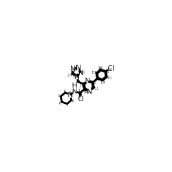 O=C(NN1CCCCC1)c1ncc(-c2ccc(Cl)cc2)nc1Cn1cnnn1